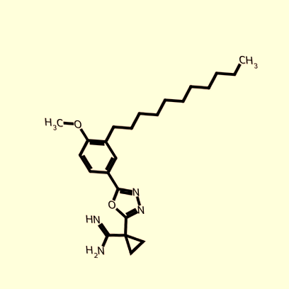 CCCCCCCCCCCc1cc(-c2nnc(C3(C(=N)N)CC3)o2)ccc1OC